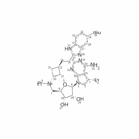 CCc1cn([C@@H]2O[C@H](CN(C(C)C)[C@H]3C[C@H](CCc4nc5cc(C(C)(C)C)ccc5[nH]4)C3)[C@@H](O)[C@H]2O)c2ncnc(N)c12